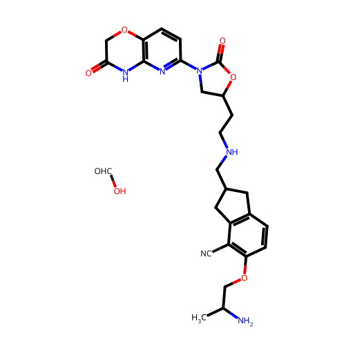 CC(N)COc1ccc2c(c1C#N)CC(CNCCC1CN(c3ccc4c(n3)NC(=O)CO4)C(=O)O1)C2.O=CO